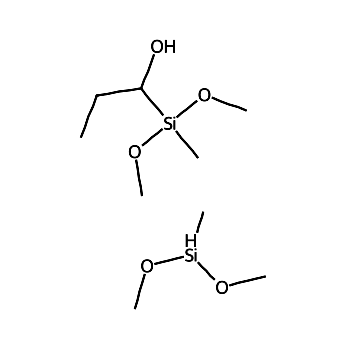 CCC(O)[Si](C)(OC)OC.CO[SiH](C)OC